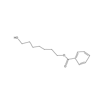 O=C(OCCCCCCCO)c1ccccc1